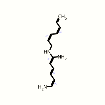 C=C/C=C\C=C/CN/C(N)=C/C=C/C=C\N